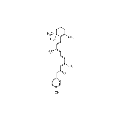 CC(C=CC1=C(C)CCCC1(C)C)=CC=CC(C)=CC(=O)Cc1ccc(O)cc1